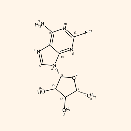 C[C@H]1O[C@@H](n2cnc3c(N)nc(F)nc32)C(O)C1O